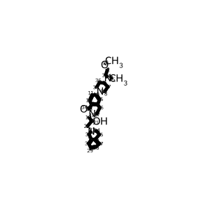 COCCN(C)C1CCN(c2ccc3c(c2)CCN(CC(O)CN2CCc4ccccc4C2)C3=O)CC1